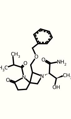 CC(C)C(=O)N1C(=O)CCC12CN([C@H](C(N)=O)[C@@H](C)O)C2COCc1ccccc1